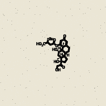 CCCCC(CC(=O)OC1=CC(=O)C=C2CC[C@@H]3[C@H]([C@@H](O)C[C@@]4(C)[C@H]3CC[C@]4(O)C(=O)CO)[C@]21C)C(=O)O